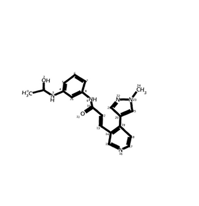 CC(O)Nc1cccc(NC(=O)/C=C/c2cnccc2-c2cnn(C)c2)c1